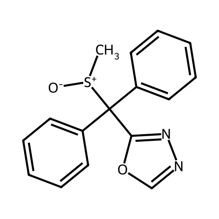 C[S+]([O-])C(c1ccccc1)(c1ccccc1)c1nnco1